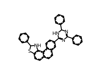 c1ccc(C2=NC(c3ccccc3)NC(c3ccc4c(ccc5ccc6c(c54)NC(c4ccccc4)S6)c3)=N2)cc1